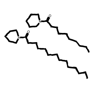 CCCCCCCCCC(=O)N1CCCCC1.CCCCCCCCCCCCCC(=O)N1CCCCC1